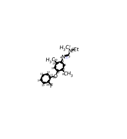 CCN(C)/C=N/c1cc(C)c(Oc2ccccc2F)cc1C